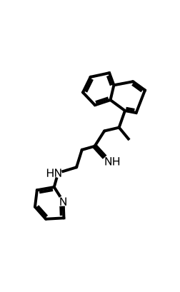 CC(CC(=N)CCNc1ccccn1)c1cccc2ccccc12